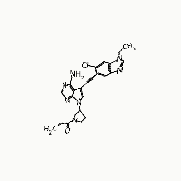 C=CC(=O)N1CCC(n2cc(C#Cc3cc4ncn(CC)c4cc3Cl)c3c(N)ncnc32)C1